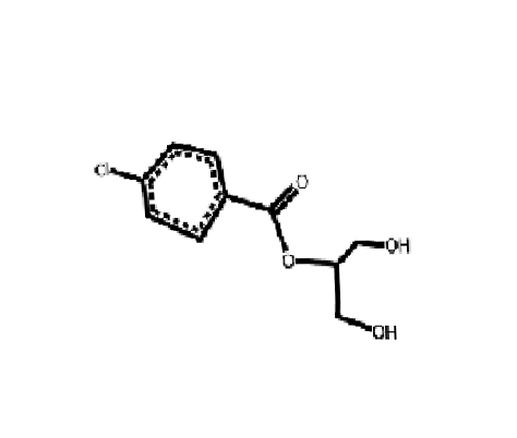 O=C(OC(CO)CO)c1ccc(Cl)cc1